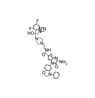 Nc1nc2sc(C(=O)NCCN3CCN(CC(O)(Cn4cncn4)c4ccc(F)cc4F)CC3)cc2n(-c2ccc3c(c2)N(c2ccccc2)CCO3)c1=O